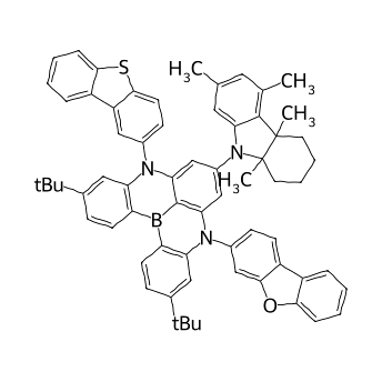 Cc1cc(C)c2c(c1)N(c1cc3c4c(c1)N(c1ccc5sc6ccccc6c5c1)c1cc(C(C)(C)C)ccc1B4c1ccc(C(C)(C)C)cc1N3c1ccc3c(c1)oc1ccccc13)C1(C)CCCCC21C